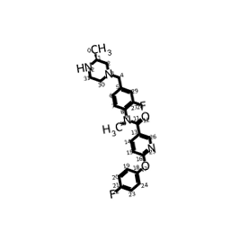 C[C@H]1CN(Cc2ccc(N(C)C(=O)c3ccc(Oc4ccc(F)cc4)nc3)c(F)c2)CCN1